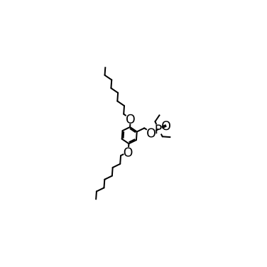 CCCCCCCCOc1ccc(OCCCCCCCC)c(COP(=O)(CC)CC)c1